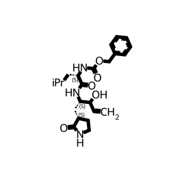 C=CC(O)[C@H](C[C@@H]1CCNC1=O)NC(=O)[C@H](CC(C)C)NC(=O)OCc1ccccc1